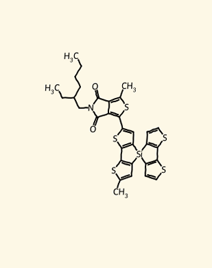 CCCCC(CC)CN1C(=O)c2c(C)sc(-c3cc4c(s3)-c3sc(C)cc3[Si]43c4ccsc4-c4sccc43)c2C1=O